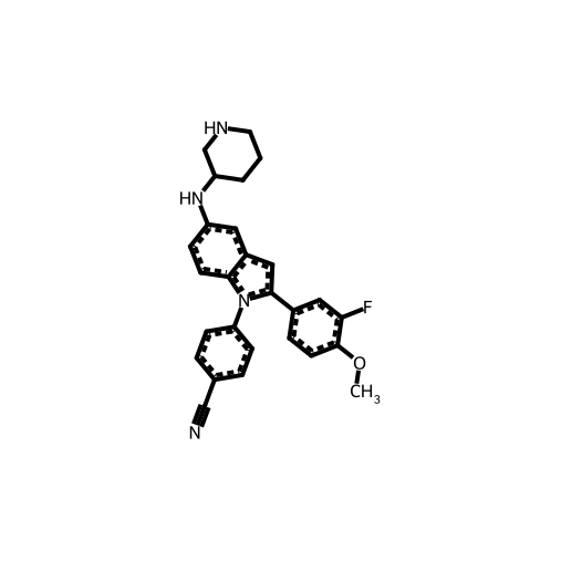 COc1ccc(-c2cc3cc(NC4CCCNC4)ccc3n2-c2ccc(C#N)cc2)cc1F